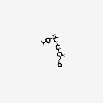 Cc1nnn(-c2ccc(C(F)F)cc2)c1COc1ccc(N2CCN(CCn3cccn3)C(=O)C2)nn1